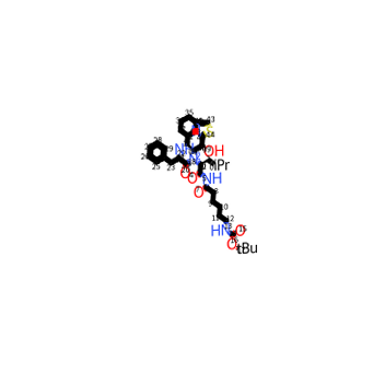 CC(C)C[C@@H](C(=O)NC(=O)CCCCCNC(=O)OC(C)(C)C)N(C(=O)[C@@H](N)Cc1ccccc1)[C@@H](CC1CCCCC1)[C@@H](O)c1nccs1